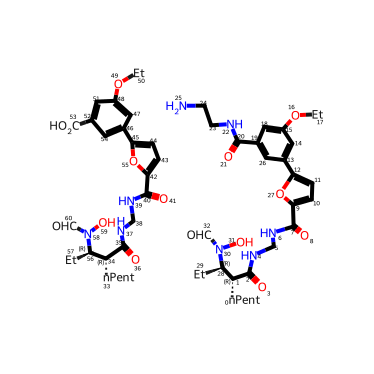 CCCCC[C@@H](C(=O)NCNC(=O)c1ccc(-c2cc(OCC)cc(C(=O)NCCN)c2)o1)[C@@H](CC)N(O)C=O.CCCCC[C@@H](C(=O)NCNC(=O)c1ccc(-c2cc(OCC)cc(C(=O)O)c2)o1)[C@@H](CC)N(O)C=O